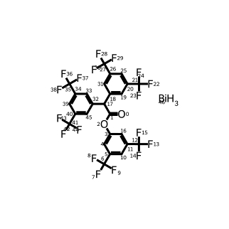 O=C(Oc1cc(C(F)(F)F)cc(C(F)(F)F)c1)C(c1cc(C(F)(F)F)cc(C(F)(F)F)c1)c1cc(C(F)(F)F)cc(C(F)(F)F)c1.[BiH3]